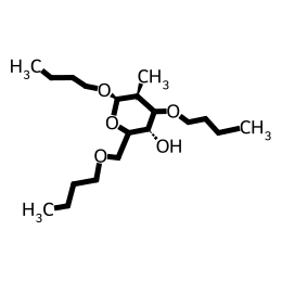 CCCCOCC1O[C@@H](OCCCC)[C@@H](C)C(OCCCC)[C@@H]1O